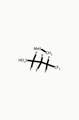 CSC.O=S(=O)(O)C(F)(F)C(F)(F)C(F)(F)C(F)(F)F